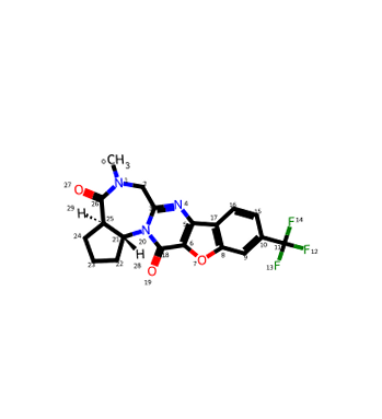 CN1Cc2nc3c(oc4cc(C(F)(F)F)ccc43)c(=O)n2[C@@H]2CCC[C@H]2C1=O